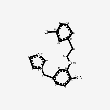 N#Cc1ccc(Cn2ccnc2)cc1OCCc1cccc(Cl)c1